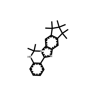 CC1(C)Nc2ccccc2-c2nc3cc4c(cc3n21)C(C)(C)C(C)(C)C4(C)C